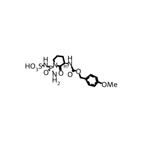 COc1ccc(COC(=O)N[C@@H]2CCCN(P(N)(=O)NS(=O)(=O)O)C2=O)cc1